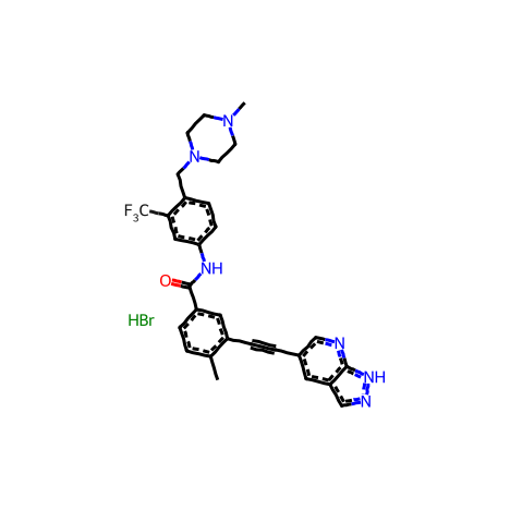 Br.Cc1ccc(C(=O)Nc2ccc(CN3CCN(C)CC3)c(C(F)(F)F)c2)cc1C#Cc1cnc2[nH]ncc2c1